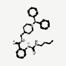 CCCCNC(=O)Nc1ccccc1C(=O)NCC1CCN(C(c2ccccc2)c2ccccc2)CC1